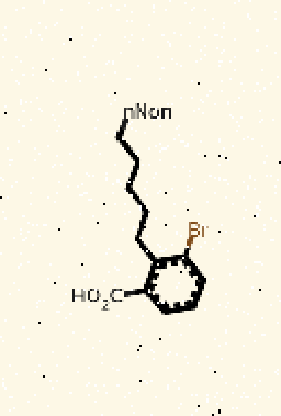 CCCCCCCCCCCCCCc1c(Br)cccc1C(=O)O